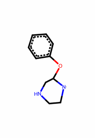 c1ccc(OC2CNCC[N]2)cc1